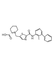 Cc1c(NC(=O)c2ncc(CN3CCCC[C@H]3C(=O)O)s2)cccc1-c1ccccc1